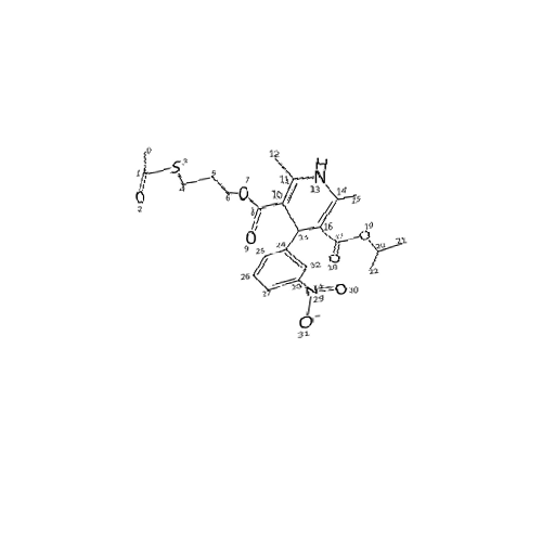 CC(=O)SCCCOC(=O)C1=C(C)NC(C)=C(C(=O)OC(C)C)C1c1cccc([N+](=O)[O-])c1